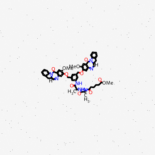 COC(=O)CCCCC(=O)N[C@@H](C)C(=O)N[C@H](C)C(=O)Nc1cc(COc2cc3c(cc2OC)C(=O)N2c4ccccc4C[C@H]2C=N3)cc(COc2cc3c(cc2OC)C(=O)N2c4ccccc4C[C@H]2C=N3)c1